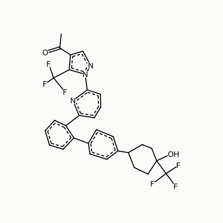 CC(=O)c1cnn(-c2cccc(-c3ccccc3-c3ccc(C4CCC(O)(C(F)(F)F)CC4)cc3)n2)c1C(F)(F)F